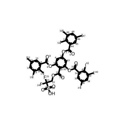 O=C(Oc1cc(OC(=O)c2cc(I)cc(I)c2I)c(C(=O)OCC(F)(F)S(=O)(=O)O)c(OC(=O)c2cc(I)cc(I)c2I)c1)c1cc(I)cc(I)c1I